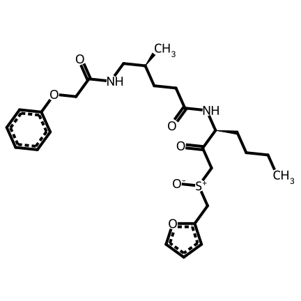 CCCC[C@H](NC(=O)CC[C@H](C)CNC(=O)COc1ccccc1)C(=O)C[S+]([O-])Cc1ccco1